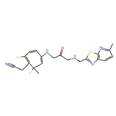 Cc1ccc2nc(CNCC(=O)CNC3=CC(C)(F)C(CC#N)=C(F)C=C3)sc2n1